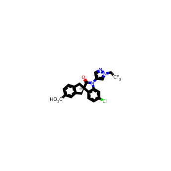 O=C(O)c1ccc2c(c1)C[C@@]1(C2)C(=O)N(c2cnn(CC(F)(F)F)c2)c2cc(Cl)ccc21